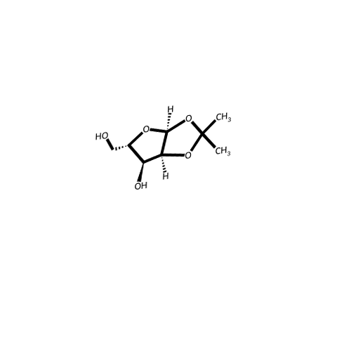 CC1(C)O[C@@H]2O[C@@H](CO)[C@H](O)[C@@H]2O1